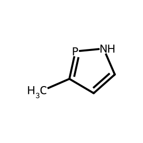 Cc1cc[nH]p1